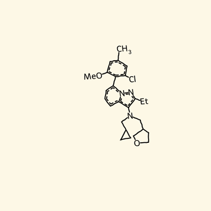 CCc1nn2c(-c3c(Cl)cc(C)cc3OC)cccc2c1N(CC1CC1)CC1CCOC1